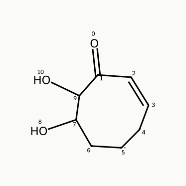 O=C1C=CC[CH]CC(O)C1O